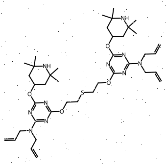 C=CCN(CC=C)c1nc(OCCSCCOc2nc(OC3CC(C)(C)NC(C)(C)C3)nc(N(CC=C)CC=C)n2)nc(OC2CC(C)(C)NC(C)(C)C2)n1